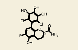 NC(=O)[C@H]1CCc2c(O)c(F)cc(-c3c(Cl)c(O)c(O)c(O)c3Cl)c2O1